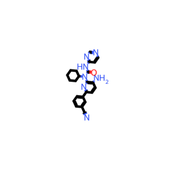 N#Cc1cccc(-c2ccc(N)c(N(C(=O)Nc3ccncn3)C3CCCCC3)n2)c1